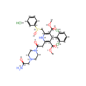 COC(=O)C1=C(CC(=O)N2CCN(CC(N)=O)CC2)NC(C[S+]([O-])c2ccccc2)=C(C(=O)OC)[C@H]1c1c(Cl)cccc1Cl.Cl